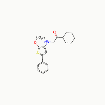 O=C(O)Oc1sc(-c2ccccc2)cc1NCC(=O)C1CCCCC1